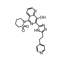 O=S1(=O)CCCCN1c1nc(-c2nnc(CCc3ccncc3)[nH]2)c(O)c2ncccc12